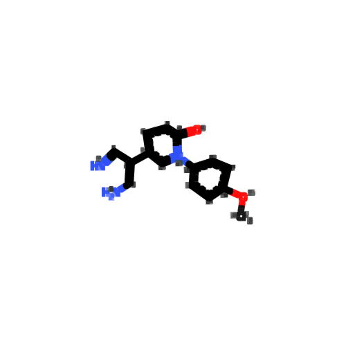 N=C/C(=C\N)c1ccc(=O)n(-c2ccc(OC(F)(F)F)cc2)c1